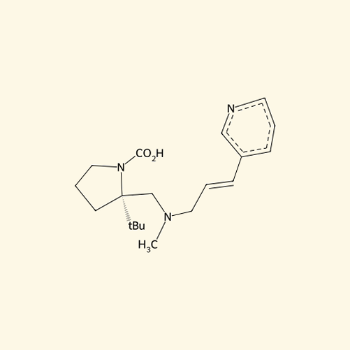 CN(CC=Cc1cccnc1)C[C@@]1(C(C)(C)C)CCCN1C(=O)O